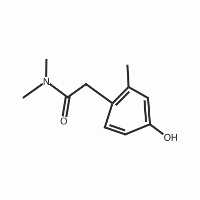 Cc1cc(O)ccc1CC(=O)N(C)C